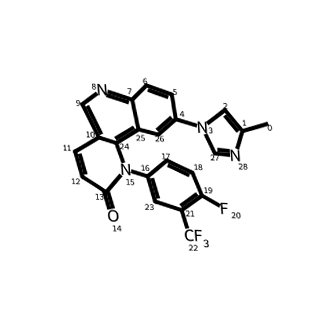 Cc1cn(-c2ccc3ncc4ccc(=O)n(-c5ccc(F)c(C(F)(F)F)c5)c4c3c2)cn1